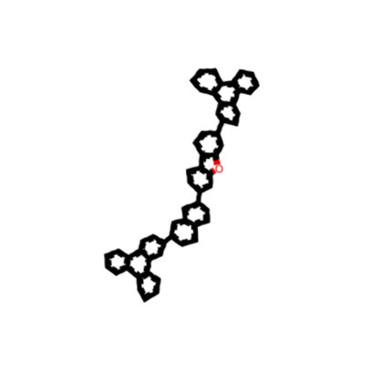 c1ccc2c(c1)c1ccccc1c1cc(-c3ccc4ccc(-c5ccc6c(c5)oc5cc(-c7ccc8c9ccccc9c9ccccc9c8c7)ccc56)cc4c3)ccc21